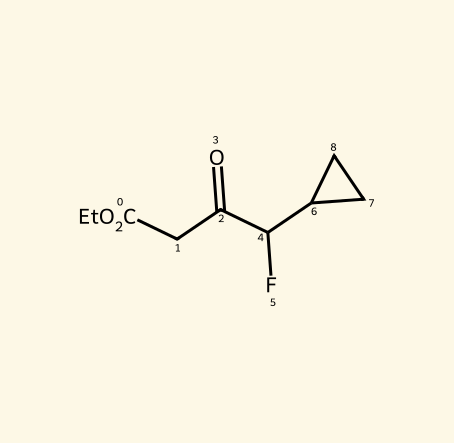 CCOC(=O)CC(=O)C(F)C1CC1